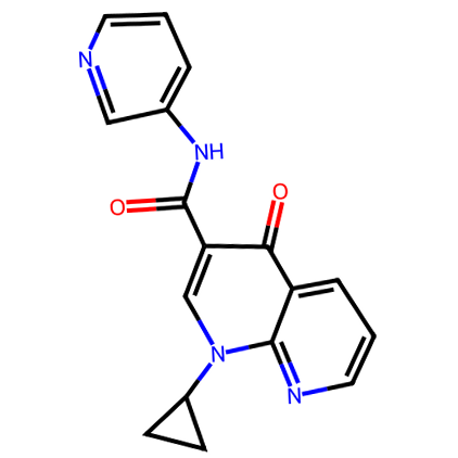 O=C(Nc1cccnc1)c1cn(C2CC2)c2ncccc2c1=O